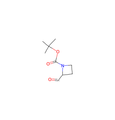 CC(C)(C)OC(=O)N1CCC1[C]=O